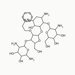 NC1CC(N)C(OC2OC(CO)C(O)C(O)C2N)C(OC2OC(CO)C(OC3OC(N)C(O)C(O)C3N)C2OCCc2ccccc2)C1O